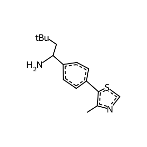 Cc1ncsc1-c1ccc(C(N)CC(C)(C)C)cc1